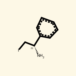 N[C@H](CI)c1ccccc1